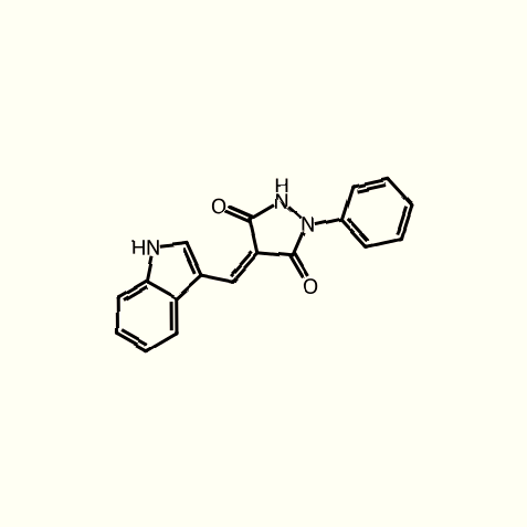 O=C1NN(c2ccccc2)C(=O)/C1=C/c1c[nH]c2ccccc12